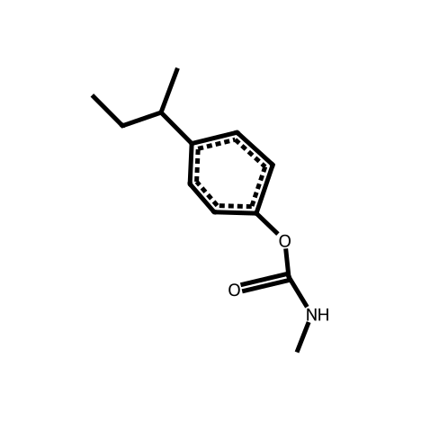 CCC(C)c1ccc(OC(=O)NC)cc1